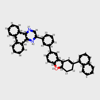 C1=C(c2cccc3ccccc23)CCc2oc3ccc(-c4cccc(-c5cnc6c7ccccc7c7ccccc7c6n5)c4)cc3c21